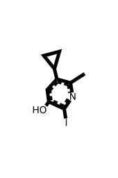 Cc1nc(I)c(O)cc1C1CC1